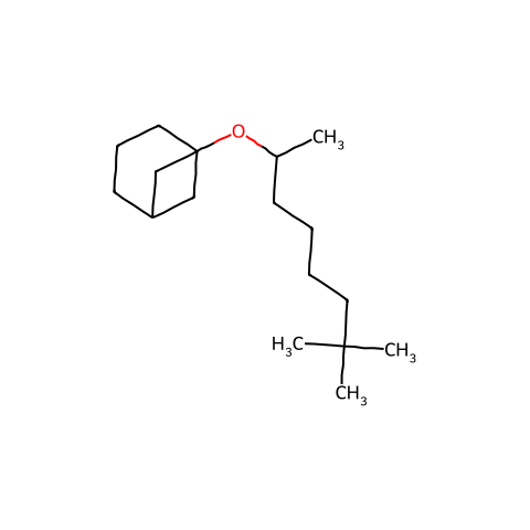 CC(CCCCC(C)(C)C)OC12CCCC(C1)C2